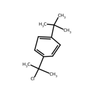 CC(C)(C)c1ccc(C(C)(C)Cl)cc1